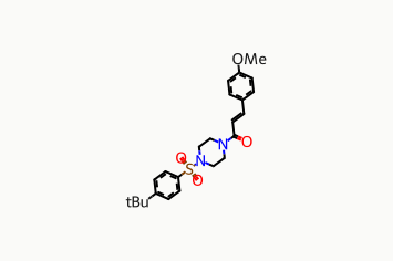 COc1ccc(C=CC(=O)N2CCN(S(=O)(=O)c3ccc(C(C)(C)C)cc3)CC2)cc1